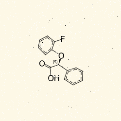 O=C(O)[C@@H](Oc1ccccc1F)c1ccccc1